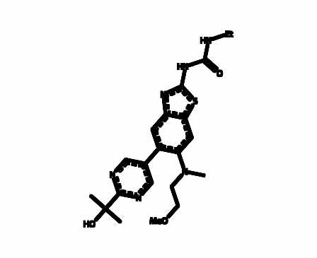 CCNC(=O)Nc1nc2cc(-c3cnc(C(C)(C)O)nc3)c(N(C)CCOC)cc2s1